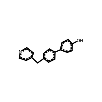 Oc1ccc(-c2ccc(Cc3ccncc3)cc2)cc1